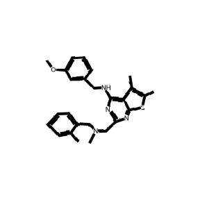 COc1cccc(CNc2nc(CN(C)Cc3ccccc3C)nc3sc(C)c(C)c23)c1